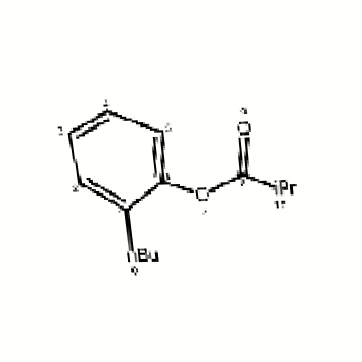 CCCCc1ccccc1OC(=O)C(C)C